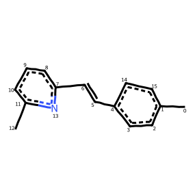 Cc1ccc(C=Cc2cccc(C)n2)cc1